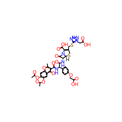 CC(=O)Oc1cc2oc(C)c(C(=O)NC(C(=O)N[C@@H]3C(=O)N4C(C(=O)O)=C(CSc5nnnn5CC(=O)O)CS[C@H]34)c3ccc(OCC(=O)O)cc3)c(=O)c2cc1OC(C)=O